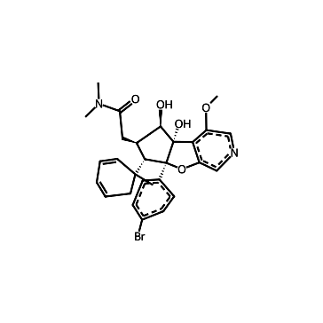 COc1cncc2c1[C@]1(O)[C@H](O)[C@H](CC(=O)N(C)C)[C@@H](C3(C)C=CC=CC3)[C@]1(c1ccc(Br)cc1)O2